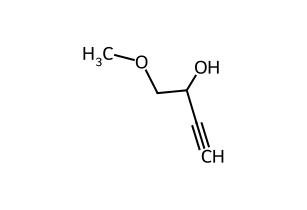 C#CC(O)COC